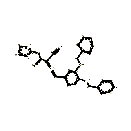 N#CC(=C=Cc1ccc(OCc2ccccc2)c(OCc2ccccc2)c1)C(=O)Nc1nncs1